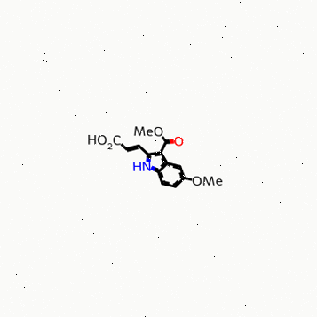 COC(=O)c1c(C=CC(=O)O)[nH]c2ccc(OC)cc12